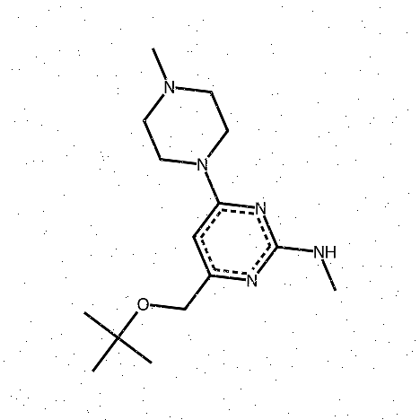 CNc1nc(COC(C)(C)C)cc(N2CCN(C)CC2)n1